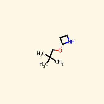 CC(C)(C)CO[C@@H]1CCN1